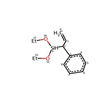 C=CC(c1ccccc1)[SiH](OCC)OCC